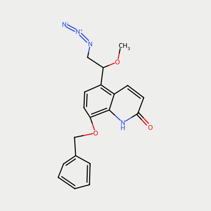 COC(CN=[N+]=[N-])c1ccc(OCc2ccccc2)c2[nH]c(=O)ccc12